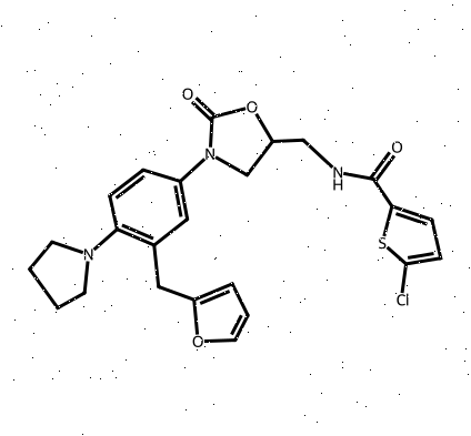 O=C(NCC1CN(c2ccc(N3CCCC3)c(Cc3ccco3)c2)C(=O)O1)c1ccc(Cl)s1